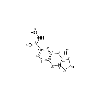 O=C(NO)c1ccc2c(c1)C[C@H]1CCCN1C2